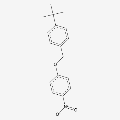 CC(C)(C)c1ccc(COc2c[c]c([N+](=O)[O-])cc2)cc1